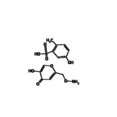 Cc1ccc(O)cc1S(=O)(=O)O.NOCc1cc(=O)c(O)co1